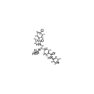 Cl.Cl.NC(CNC(=O)C1(c2ccc(Cl)cc2)CC1)c1ccc(C(=O)Nc2ccncc2)cc1